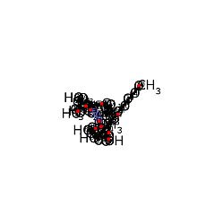 COCCOCCOCCOCCOCCOCCNc1ccc2c(S(=O)(=O)O)cc(S(=O)(=O)O)cc2c1C(C)(C/C=C/C(C)=C/C=C1/N(CCCC(=O)ON2C(=O)CCC2=O)c2ccc3c(S(=O)(=O)O)cc(S(=O)(=O)O)cc3c2C1(C)C)CCCS(=O)(=O)O